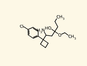 CCCC(O)(CC(N)C1(c2ccc(Cl)cc2)CCC1)OCC